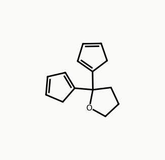 C1=CCC(C2(C3=CC=CC3)CCCO2)=C1